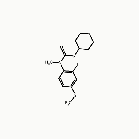 CN(C(=O)NC1CCCCC1)c1ccc(SC(F)(F)F)cc1F